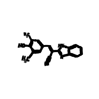 Cc1cc(C=C(C#N)c2nc3ccccc3[nH]2)cc(C)c1O